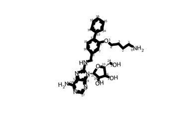 NCCCCOc1cc(CNc2nc3c(N)ncnc3n2[C@@H]2O[C@H](CO)C(O)C2O)ccc1-c1ccccc1